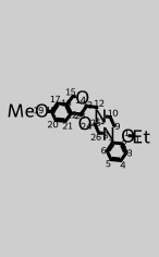 CCOc1ccccc1N1CCN(CC2OCc3cc(OC)ccc3C2=O)CC1